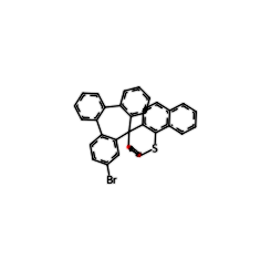 Brc1ccc2c(c1)C1(c3ccccc3Sc3c1ccc1ccccc31)c1ccccc1-c1ccccc1-2